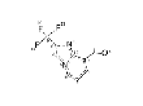 O=Cc1cccn2cc(C(F)(F)F)nc12